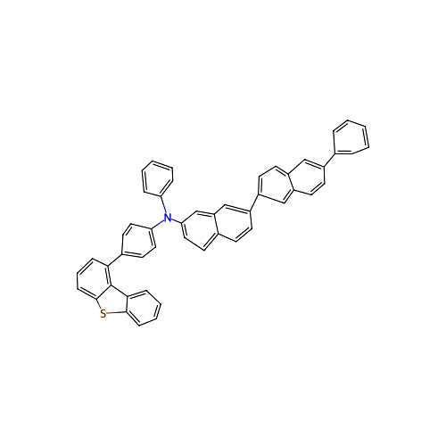 c1ccc(-c2ccc3cc(-c4ccc5ccc(N(c6ccccc6)c6ccc(-c7cccc8sc9ccccc9c78)cc6)cc5c4)ccc3c2)cc1